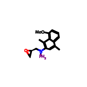 COc1cccc2c(C)cc(N(P)C[C@H]3CO3)c(C)c12